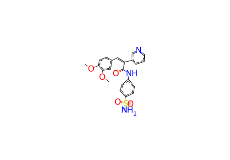 COc1ccc(/C=C(\C(=O)Nc2ccc(S(N)(=O)=O)cc2)c2cccnc2)cc1OC